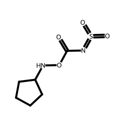 O=C(N=S(=O)=O)ONC1CCCC1